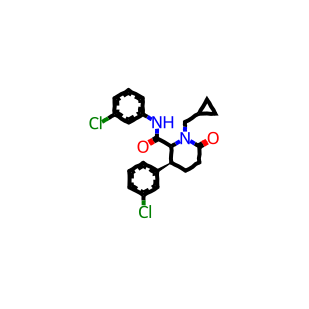 O=C(Nc1cccc(Cl)c1)C1[C@H](c2cccc(Cl)c2)CCC(=O)N1CC1CC1